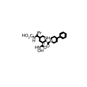 CC(C)C(NC(=O)O)C1CN[C@H](C(=O)N2CC=C(c3ccccc3)CC2)[C@@H](C(=O)NO)C1